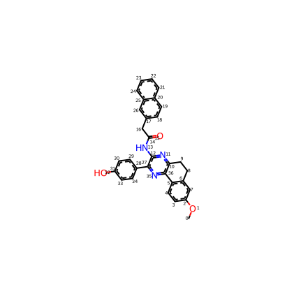 COc1ccc2c(c1)CCc1nc(NC(=O)Cc3ccc4ccccc4c3)c(-c3ccc(O)cc3)nc1-2